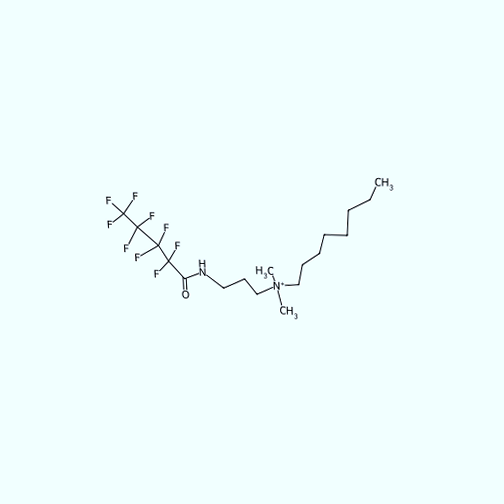 CCCCCCCC[N+](C)(C)CCCNC(=O)C(F)(F)C(F)(F)C(F)(F)C(F)(F)F